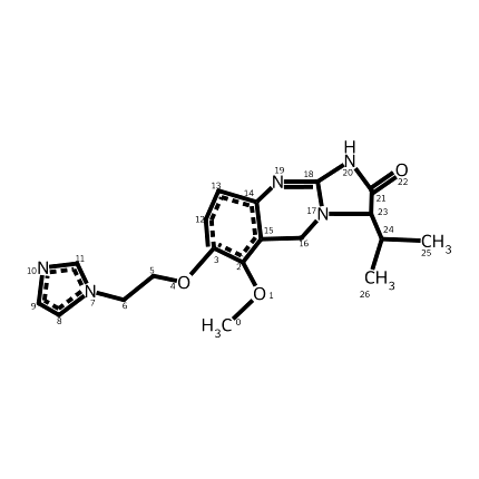 COc1c(OCCn2ccnc2)ccc2c1CN1C(=N2)NC(=O)C1C(C)C